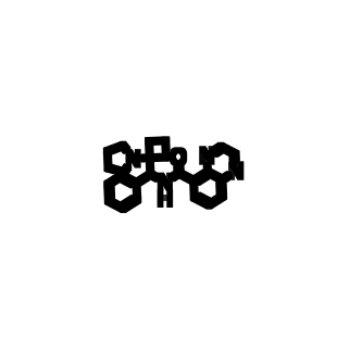 O=C(NC(c1ccccc1)C1(N2CCCC2)CCC1)c1cccc2nccnc12